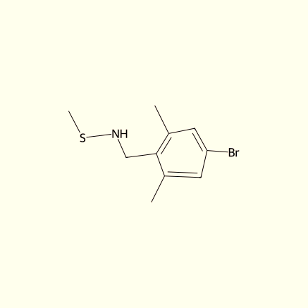 CSNCc1c(C)cc(Br)cc1C